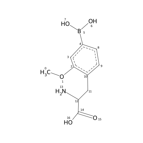 COc1cc(B(O)O)ccc1CC(N)C(=O)O